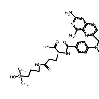 CN(Cc1cnc2nc(N)nc(N)c2n1)c1ccc(C(=O)N[C@@H](CCC(=O)NCCC[Si](C)(C)O)C(=O)O)cc1